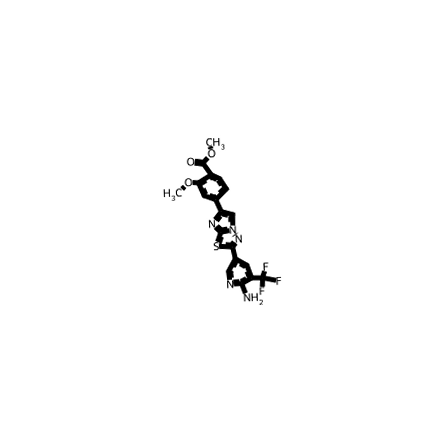 COC(=O)c1ccc(-c2cn3nc(-c4cnc(N)c(C(F)(F)F)c4)sc3n2)cc1OC